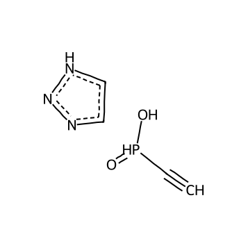 C#C[PH](=O)O.c1c[nH]nn1